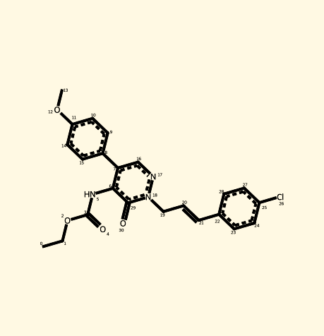 CCOC(=O)Nc1c(-c2ccc(OC)cc2)cnn(CC=Cc2ccc(Cl)cc2)c1=O